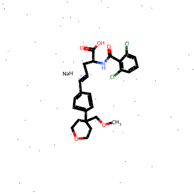 COCC1(c2ccc(/C=C/CC(NC(=O)c3c(Cl)cccc3Cl)C(=O)O)cc2)CCOCC1.[NaH]